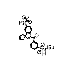 CC(C)(C)NS(=O)(=O)c1cccc(C(=O)N2CC3(CC=CC3)c3cc(NS(C)(=O)=O)ccc32)c1